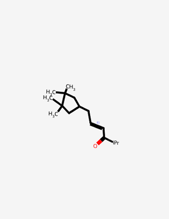 CC(C)C(=O)/C=C/CC1CC(C)(C)C(C)(C)C1